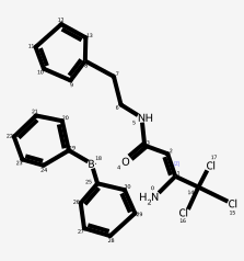 N/C(=C\C(=O)NCCc1ccccc1)C(Cl)(Cl)Cl.[B](c1ccccc1)c1ccccc1